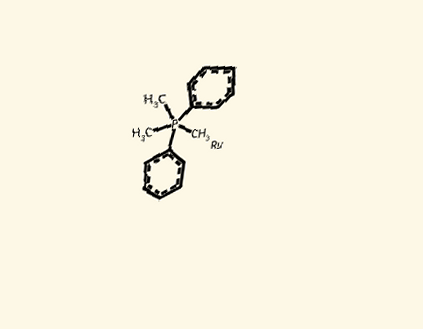 CP(C)(C)(c1ccccc1)c1ccccc1.[Ru]